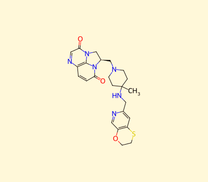 CC1(NCc2cc3c(cn2)OCCS3)CCN(C[C@@H]2Cn3c(=O)cnc4ccc(=O)n2c43)CC1